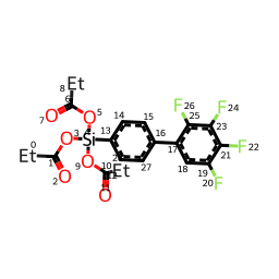 CCC(=O)O[Si](OC(=O)CC)(OC(=O)CC)c1ccc(-c2cc(F)c(F)c(F)c2F)cc1